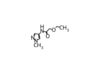 CCOCC(=O)Nc1cnn(C)c1